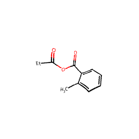 CCC(=O)OC(=O)c1ccccc1C